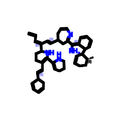 C=C/C=C(\C=C\C1CC=CN=C(/C(N)=C2\C=CC=CC2C2C=CCC[C@H]2C)C1)C1CCC(/C=C/C2C=CC=CC2)=C(C2=CCCCN2)N1